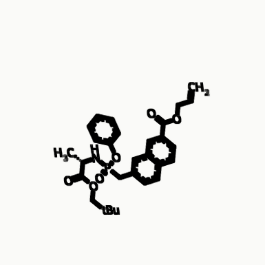 C=CCOC(=O)c1ccc2ccc(CP(=O)(N[C@@H](C)C(=O)OCC(C)(C)C)Oc3ccccc3)cc2c1